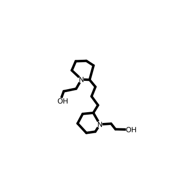 OCCN1CCCCC1CCCC1CCCCN1CCO